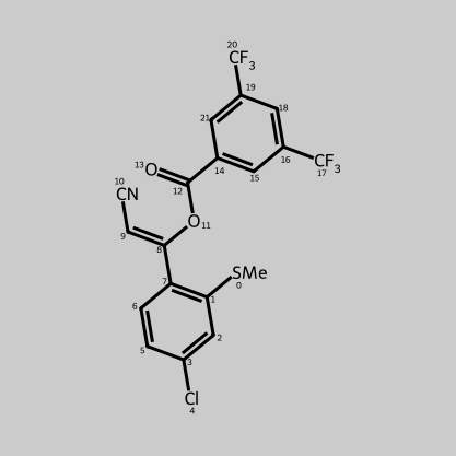 CSc1cc(Cl)ccc1C(=CC#N)OC(=O)c1cc(C(F)(F)F)cc(C(F)(F)F)c1